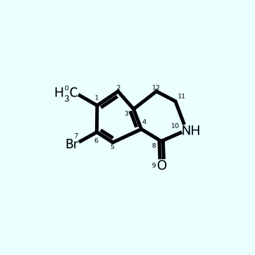 Cc1cc2c(cc1Br)C(=O)NCC2